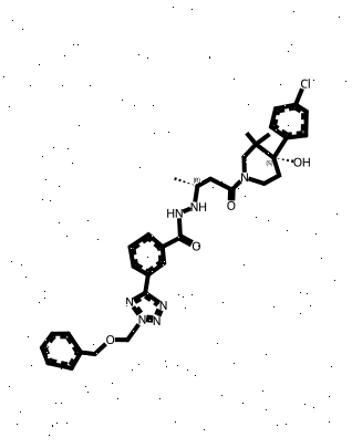 C[C@H](CC(=O)N1CC[C@](O)(c2ccc(Cl)cc2)C(C)(C)C1)NNC(=O)c1cccc(-c2nnn(COCc3ccccc3)n2)c1